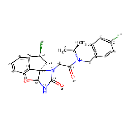 C[C@H](N(Cc1ccc(F)cc1)C(=O)CN1C(=O)NC(=O)[C@]12C[C@H](F)c1ccccc12)C(F)(F)F